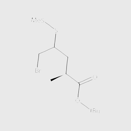 CSSC(CBr)C[C@H](C)C(=O)OC(C)(C)C